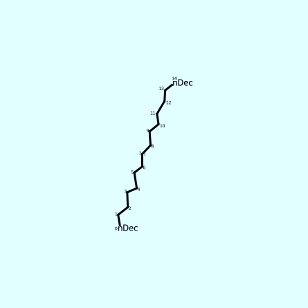 CCCCCCCCCCCCCCCC[C]CCCCCCCCCCCCCCCC